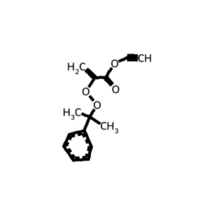 C#COC(=O)C(=C)OOC(C)(C)c1ccccc1